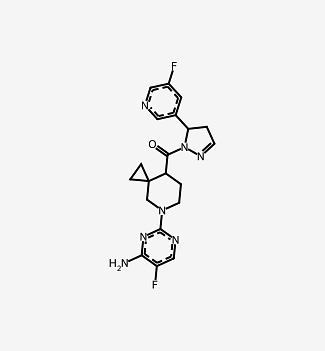 Nc1nc(N2CCC(C(=O)N3N=CCC3c3cncc(F)c3)C3(CC3)C2)ncc1F